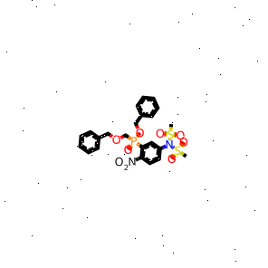 CS(=O)(=O)N(c1ccc([N+](=O)[O-])c(P(=O)(COCc2ccccc2)OCc2ccccc2)c1)S(C)(=O)=O